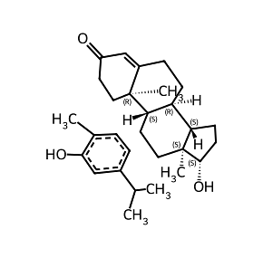 C[C@]12CC[C@H]3[C@@H](CCC4=CC(=O)CC[C@@]43C)[C@@H]1CC[C@@H]2O.Cc1ccc(C(C)C)cc1O